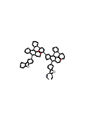 C=Cc1oc2cc(-c3c4ccccc4c(-c4ccccc4-c4ccccc4)c4cc(-c5ccc(-c6ccccc6-c6c7ccccc7c(-c7ccc8oc9ccccc9c8c7)c7ccccc67)cc5)ccc34)ccc2c1/C=C\C